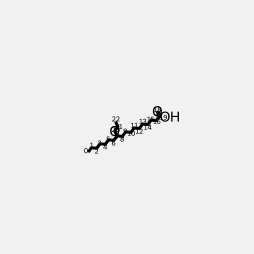 CCCCCCCC(CCCCCCCCCC(=O)O)OCC